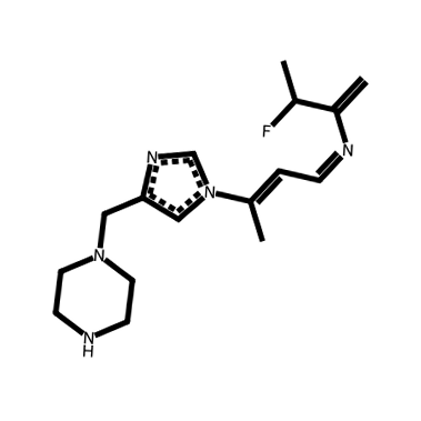 C=C(/N=C\C=C(/C)n1cnc(CN2CCNCC2)c1)C(C)F